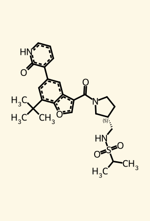 CC(C)S(=O)(=O)NC[C@H]1CCN(C(=O)c2coc3c(C(C)(C)C)cc(-c4ccc[nH]c4=O)cc23)C1